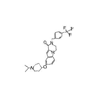 CC(C)N1CCC(Oc2ccc3c(c2)cc2n3CCN(Cc3ccc(C(F)(F)F)cc3)C2=O)CC1